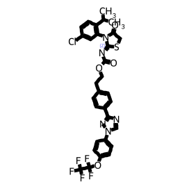 CC(C)c1ccc(Cl)cc1N1C(=O)CS/C1=N\C(=O)OCCc1ccc(-c2ncn(-c3ccc(OC(F)(F)C(F)(F)F)cc3)n2)cc1